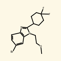 COCCn1c(C2CCC(F)(F)CC2)nc2ccc(Br)cc21